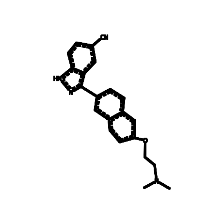 CN(C)CCOc1ccc2cc(-c3n[nH]c4ccc(C#N)cc34)ccc2c1